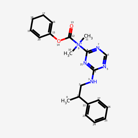 CC(CNc1ncnc([N+](C)(C)C(=O)OC2=CC[CH]C=C2)n1)c1ccccc1